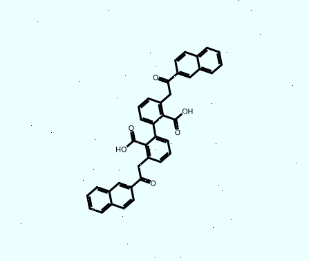 O=C(Cc1cccc(-c2cccc(CC(=O)c3ccc4ccccc4c3)c2C(=O)O)c1C(=O)O)c1ccc2ccccc2c1